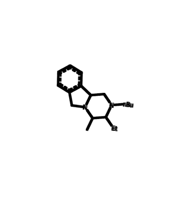 CCCCN1CC2c3ccccc3CN2C(C)C1CC